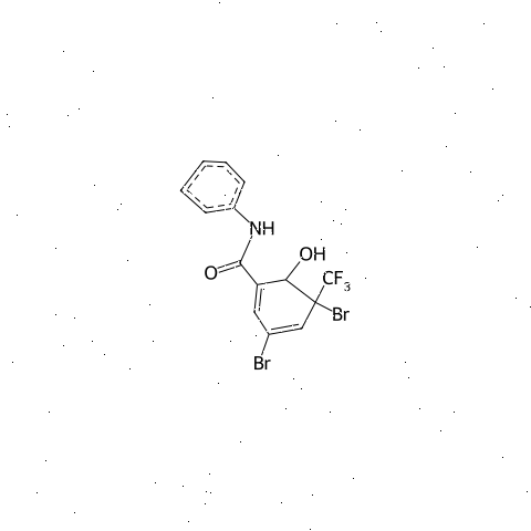 O=C(Nc1ccccc1)C1=CC(Br)=CC(Br)(C(F)(F)F)C1O